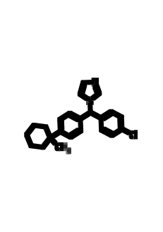 CC1(c2ccc(C(c3ccc(Cl)cc3)n3ccnc3)cc2)CCCCC1